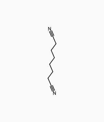 N#CCCCCCCC#N